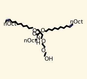 CCCCCCCC/C=C\CCCCCCCCOCC(CCOCCOCCO)(OCCCCCCCC/C=C\CCCCCCCC)C(=O)NCCCCCCCC